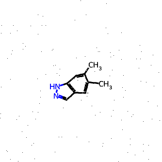 Cc1[c]c2cn[nH]c2cc1C